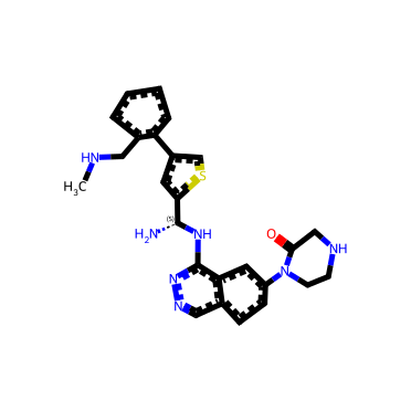 CNCc1ccccc1-c1csc([C@@H](N)Nc2nncc3ccc(N4CCNCC4=O)cc23)c1